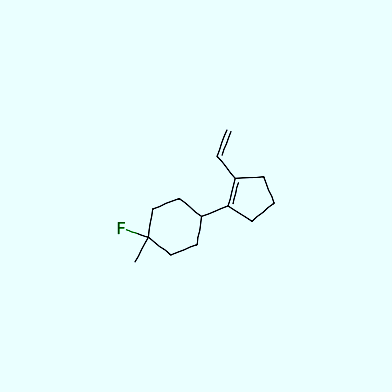 C=CC1=C(C2CCC(C)(F)CC2)CCC1